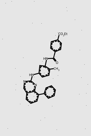 CCOC(=O)c1ccc(C(=O)Nc2cc(Nc3ncc4cccc(-c5ccccc5)c4n3)ccc2C)cc1